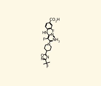 C=C(/C(F)=C(\N=C/N)Nc1ccc(C(=O)O)cc1F)N1CCC(c2nc(C(C)(C)F)no2)CC1